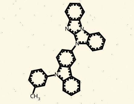 Cc1cccc(-n2c3ccccc3c3cc(-n4c5ccccc5n5c6ccccc6nc45)ccc32)c1